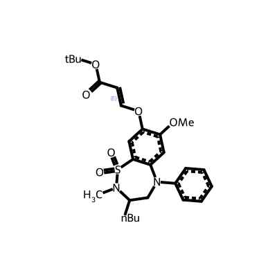 CCCCC1CN(c2ccccc2)c2cc(OC)c(O/C=C/C(=O)OC(C)(C)C)cc2S(=O)(=O)N1C